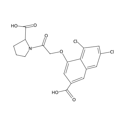 O=C(O)c1cc(OCC(=O)N2CCCC2C(=O)O)c2c(Cl)cc(Cl)cc2c1